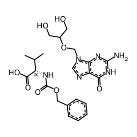 CC(C)[C@H](NC(=O)OCc1ccccc1)C(=O)O.Nc1nc2c(ncn2COC(CO)CO)c(=O)[nH]1